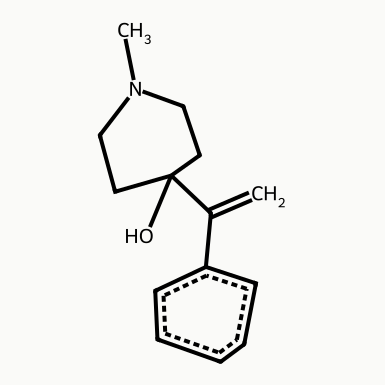 C=C(c1ccccc1)C1(O)CCN(C)CC1